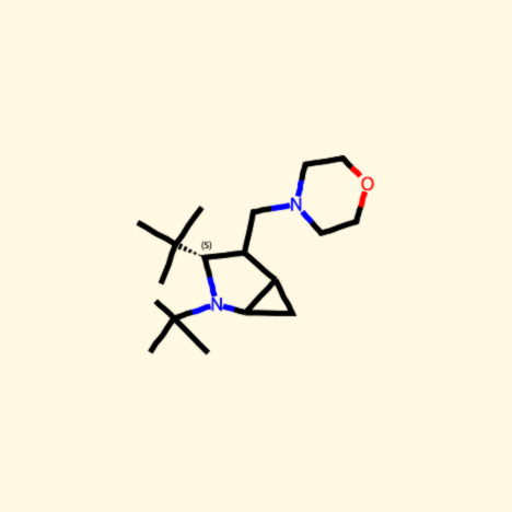 CC(C)(C)[C@@H]1C(CN2CCOCC2)C2CC2N1C(C)(C)C